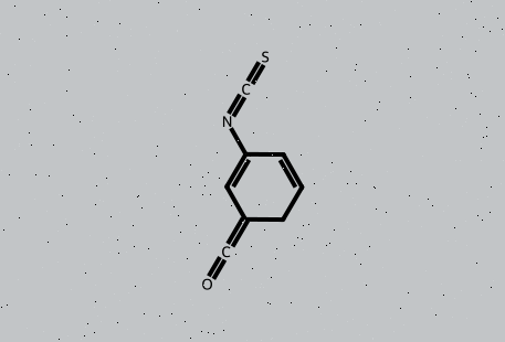 O=C=C1C=C(N=C=S)C=CC1